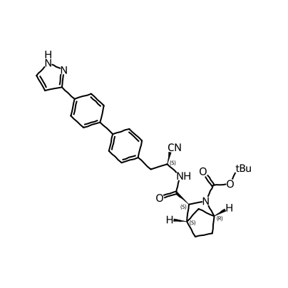 CC(C)(C)OC(=O)N1[C@@H]2CC[C@@H](C2)[C@H]1C(=O)N[C@H](C#N)Cc1ccc(-c2ccc(-c3cc[nH]n3)cc2)cc1